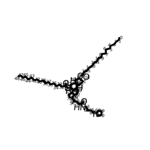 CCCCCCCCC/C=C/CCCCCCC(=O)O[C@@H]1CC[C@@]2(C)[C@@H](C1)C[C@H](OC(=O)CCCCCC/C=C/CCCCCCCCC)[C@@H]1[C@@H]2CC[C@]2(C)[C@@H]([C@H](C)CCC(=O)NCCCCN3CCCC3)CC[C@@H]12